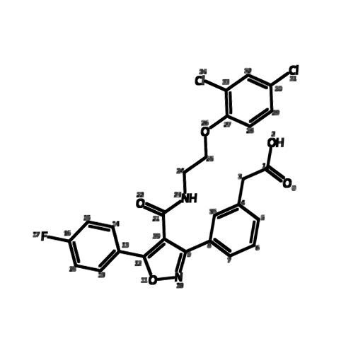 O=C(O)Cc1cccc(-c2noc(-c3ccc(F)cc3)c2C(=O)NCCOc2ccc(Cl)cc2Cl)c1